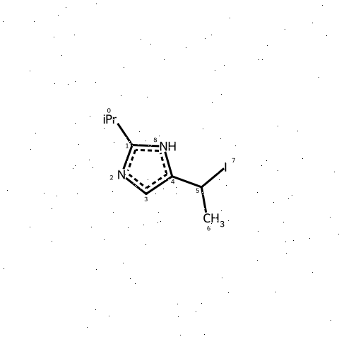 CC(C)c1ncc(C(C)I)[nH]1